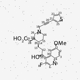 COc1ccc2ncc(F)c([C@@H](O)CC[C@@H]3CCN(CC#Cc4ccsc4)C[C@@H]3CC(=O)O)c2c1